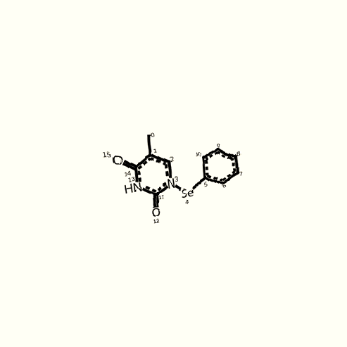 Cc1cn([Se]c2ccccc2)c(=O)[nH]c1=O